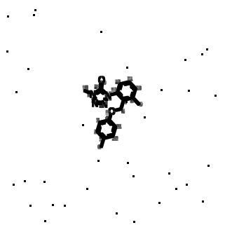 Cc1ccc(OCc2c(C)cccc2-n2nnn(C)c2=O)cc1